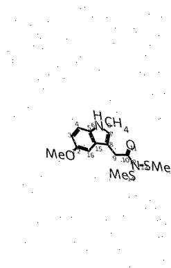 C.COc1ccc2[nH]cc(CC(=O)N(SC)SC)c2c1